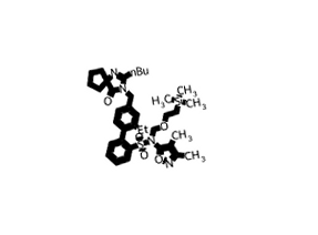 CCCCC1=NC2(CCCC2)C(=O)N1Cc1ccc(-c2ccccc2S(=O)(=O)N(COCC[Si](C)(C)C)c2onc(C)c2C)c(CC)c1